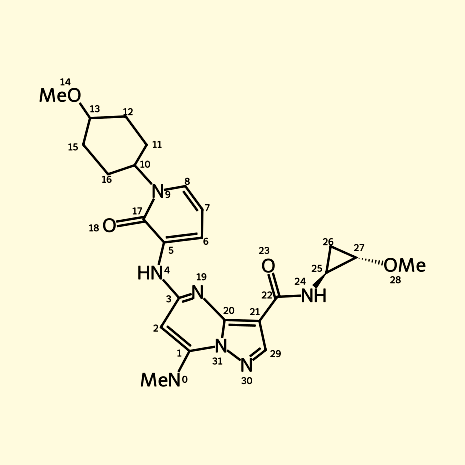 CNc1cc(Nc2cccn(C3CCC(OC)CC3)c2=O)nc2c(C(=O)N[C@H]3C[C@@H]3OC)cnn12